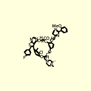 COc1ccccc1-c1nccc(COc2ccc3cc2C[C@H](C(=O)O)Oc2ncnc4sc(-c5ccc(F)cc5)c(c24)-c2ccc(c(Cl)c2C)O[C@H](CN2CCN(C)[C@@H](C)C2)CO3)n1